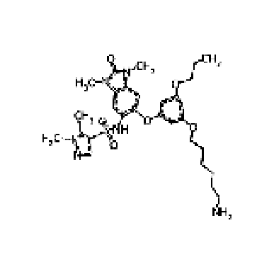 CCCOc1cc(OCCCCCCN)cc(Oc2cc3c(cc2NS(=O)(=O)c2cnn(C)c2C)n(C)c(=O)n3C)c1